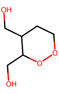 OCC1CCOOC1CO